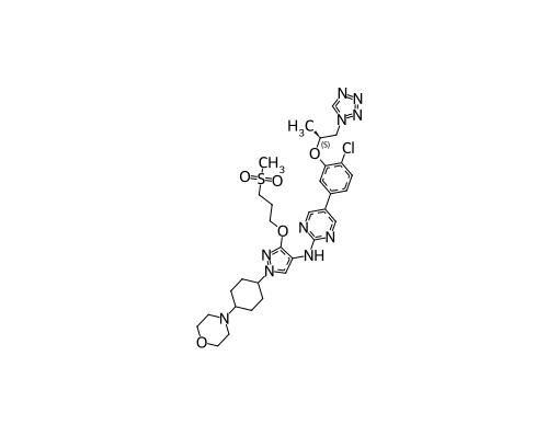 C[C@@H](Cn1cnnn1)Oc1cc(-c2cnc(Nc3cn(C4CCC(N5CCOCC5)CC4)nc3OCCCS(C)(=O)=O)nc2)ccc1Cl